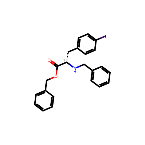 O=C(OCc1ccccc1)[C@H](Cc1ccc(I)cc1)NCc1ccccc1